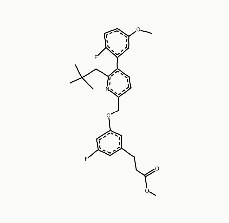 COC(=O)CCc1cc(F)cc(OCc2ccc(-c3cc(OC)ccc3F)c(CC(C)(C)C)n2)c1